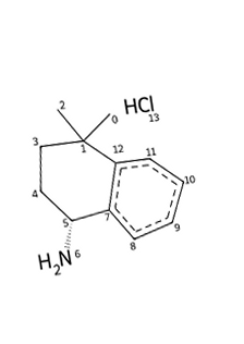 CC1(C)CC[C@@H](N)c2ccccc21.Cl